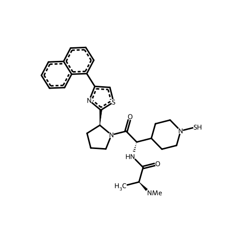 CN[C@@H](C)C(=O)N[C@H](C(=O)N1CCC[C@H]1c1nc(-c2cccc3ccccc23)cs1)C1CCN(S)CC1